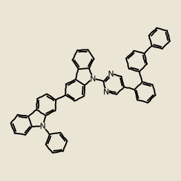 c1ccc(-c2cccc(-c3ccccc3-c3cnc(-n4c5ccccc5c5cc(-c6ccc7c8ccccc8n(-c8ccccc8)c7c6)ccc54)nc3)c2)cc1